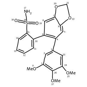 COc1cc(-c2cc3c(cc2-c2ccccc2S(N)(=O)=O)OCO3)cc(OC)c1OC